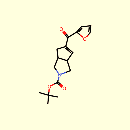 CC(C)(C)OC(=O)N1CC2C=C(C(=O)c3ccco3)CC2C1